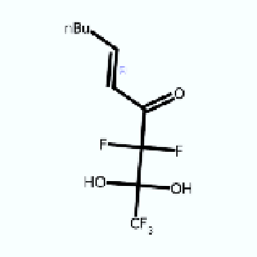 CCCC/C=C/C(=O)C(F)(F)C(O)(O)C(F)(F)F